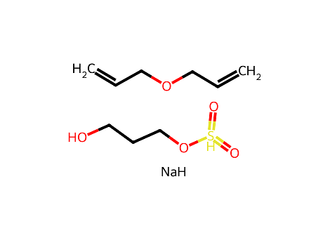 C=CCOCC=C.O=[SH](=O)OCCCO.[NaH]